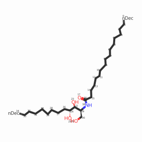 CCCCCCCCCCCCCCCCCCCCCCCCCC(=O)N[C@@H](CO)[C@H](O)[C@H](O)CCCCCCCCCCCCCCCCCC